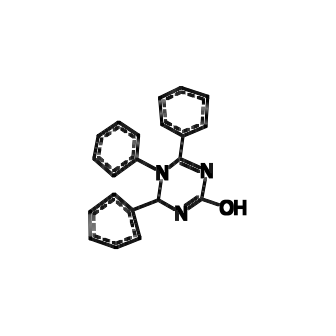 OC1=NC(c2ccccc2)N(c2ccccc2)C(c2ccccc2)=N1